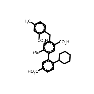 Cc1ccc(Cc2cc(C(C)(C)C)c(-c3cc(C(=O)O)ccc3C3CCCCC3)cc2C(=O)O)c(C(=O)O)c1